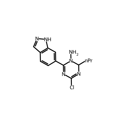 CCCC1N=C(Cl)N=C(c2ccc3cn[nH]c3c2)N1N